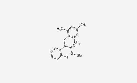 Cc1cc(C)c(CN(C(=O)OC(C)(C)C)c2ccccc2I)c(C)c1